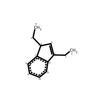 CCC1=CC(CC)c2ccccc21